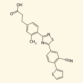 Cc1cc(CCC(=O)O)ccc1-c1nsc(-c2ccc(-c3cccs3)c(C#N)c2)n1